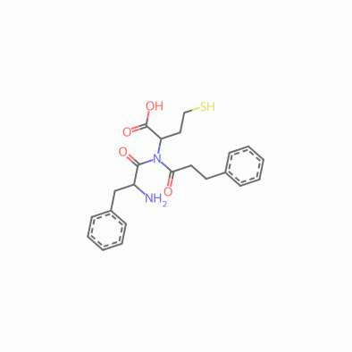 NC(Cc1ccccc1)C(=O)N(C(=O)CCc1ccccc1)C(CCS)C(=O)O